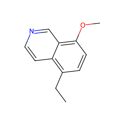 CCc1ccc(OC)c2cnccc12